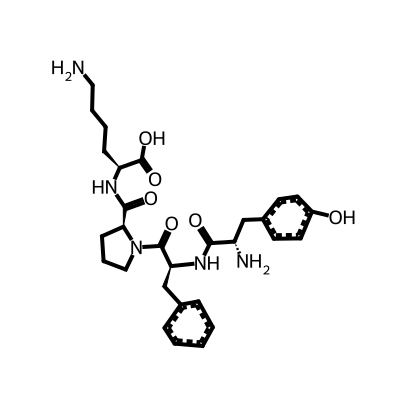 NCCCC[C@H](NC(=O)[C@@H]1CCCN1C(=O)[C@H](Cc1ccccc1)NC(=O)[C@@H](N)Cc1ccc(O)cc1)C(=O)O